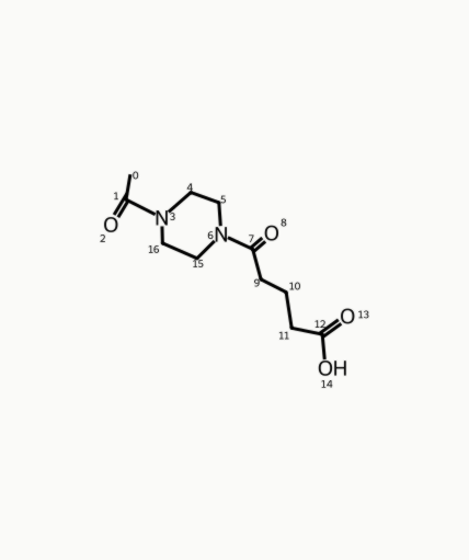 CC(=O)N1CCN(C(=O)CCCC(=O)O)CC1